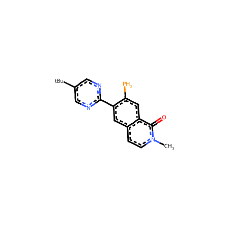 Cn1ccc2cc(-c3ncc(C(C)(C)C)cn3)c(P)cc2c1=O